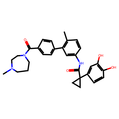 Cc1ccc(NC(=O)C2(c3ccc(O)c(O)c3)CC2)cc1-c1ccc(C(=O)N2CCCN(C)CC2)cc1